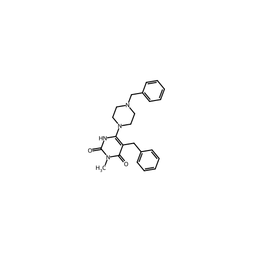 Cn1c(=O)[nH]c(N2CCN(Cc3ccccc3)CC2)c(Cc2ccccc2)c1=O